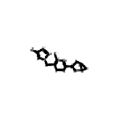 CCc1cn(Cc2ccc(N3CC4CC4C3)nc2F)nn1